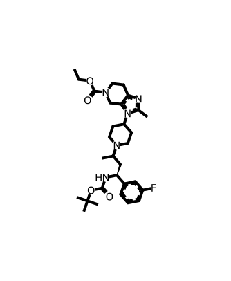 CCOC(=O)N1CCc2nc(C)n(C3CCN(C(C)C[C@H](NC(=O)OC(C)(C)C)c4cccc(F)c4)CC3)c2C1